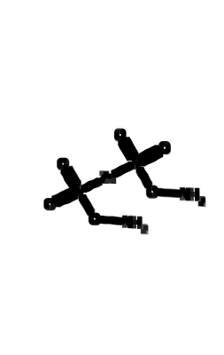 NO[S](=O)(=O)[Zn][S](=O)(=O)ON